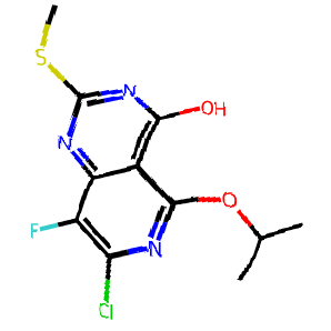 CSc1nc(O)c2c(OC(C)C)nc(Cl)c(F)c2n1